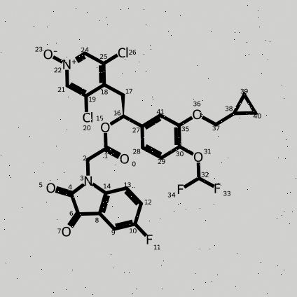 O=C(CN1C(=O)C(=O)c2cc(F)ccc21)O[C@@H](Cc1c(Cl)c[n+]([O-])cc1Cl)c1ccc(OC(F)F)c(OCC2CC2)c1